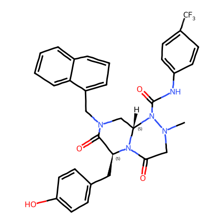 CN1CC(=O)N2[C@@H](Cc3ccc(O)cc3)C(=O)N(Cc3cccc4ccccc34)C[C@@H]2N1C(=O)Nc1ccc(C(F)(F)F)cc1